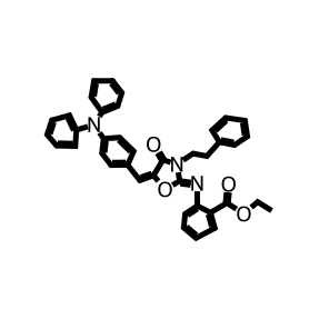 CCOC(=O)c1ccccc1/N=C1\O/C(=C/c2ccc(N(c3ccccc3)c3ccccc3)cc2)C(=O)N1CCc1ccccc1